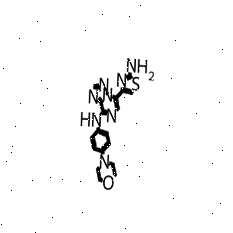 Nc1nc(-c2cnc(Nc3ccc(N4CCOCC4)cc3)c3ncnn23)cs1